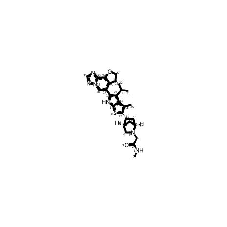 CNC(=O)CN1C[C@@H]2C[C@H]1C[C@H]2c1sc2[nH]c(-c3cn4ncnc4c4c3CCO4)c(C(C)C)c2c1C